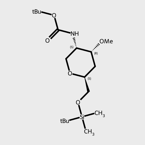 CO[C@@H]1C[C@@H](CO[Si](C)(C)C(C)(C)C)OC[C@@H]1NC(=O)OC(C)(C)C